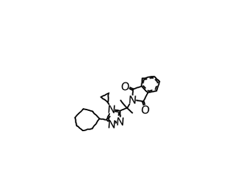 CC(C)(c1nnc(C2CCCCCC2)n1C1CC1)N1C(=O)c2ccccc2C1=O